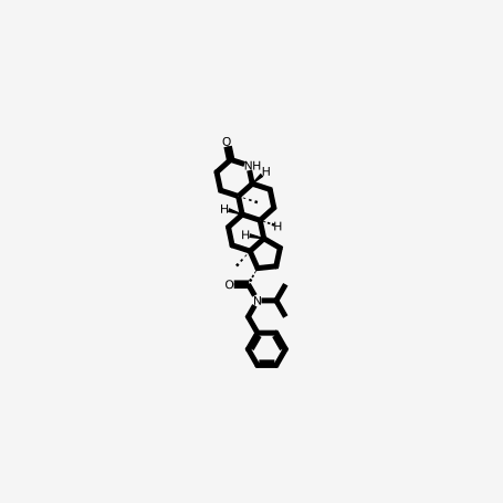 CC(C)N(Cc1ccccc1)C(=O)[C@H]1CC[C@H]2[C@@H]3CC[C@H]4NC(=O)CC[C@]4(C)[C@H]3CC[C@]12C